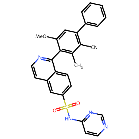 COc1cc(-c2ccccc2)c(C#N)c(C)c1-c1nccc2cc(S(=O)(=O)Nc3ccncn3)ccc12